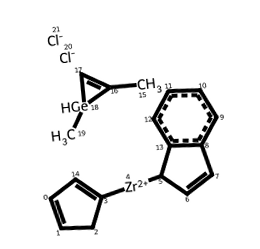 C1=CC[C]([Zr+2][CH]2C=Cc3ccccc32)=C1.C[C]1=[CH][GeH]1[CH3].[Cl-].[Cl-]